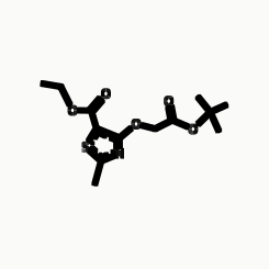 CCOC(=O)c1sc(C)nc1OCC(=O)OC(C)(C)C